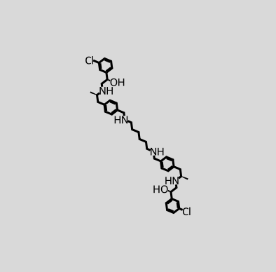 C[C@H](Cc1ccc(CNCCCCCCNCc2ccc(C[C@@H](C)NC[C@H](O)c3cccc(Cl)c3)cc2)cc1)NC[C@H](O)c1cccc(Cl)c1